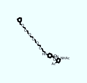 CC(=O)Nc1ccc(C(C)=O)c(OC(=O)c2ccc(NCCCOCCOCCOCCOCCOCCOCc3ccccc3)cc2)c1[N+](=O)[O-]